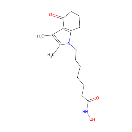 Cc1c2c(n(CCCCCCC(=O)NO)c1C)CCCC2=O